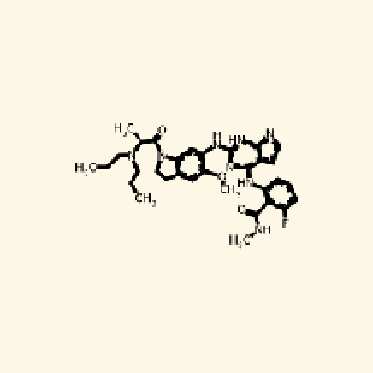 CCCN(CCC)[C@@H](C)C(=O)N1CCc2cc(OC)c(Nc3nc(Nc4cccc(F)c4C(=O)NC)c4ccnc-4[nH]3)cc21